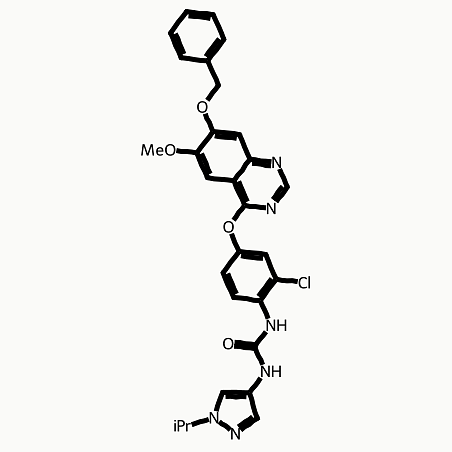 COc1cc2c(Oc3ccc(NC(=O)Nc4cnn(C(C)C)c4)c(Cl)c3)ncnc2cc1OCc1ccccc1